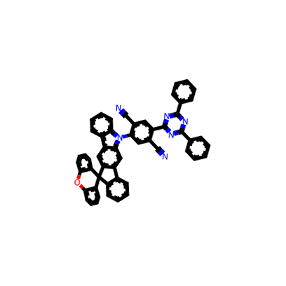 N#Cc1cc(-n2c3ccccc3c3cc4c(cc32)-c2ccccc2C42c3ccccc3Oc3ccccc32)c(C#N)cc1-c1nc(-c2ccccc2)nc(-c2ccccc2)n1